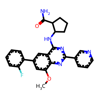 COc1cc(-c2ccccc2F)cc2c(NC3CCCC3C(N)=O)nc(-c3cccnc3)nc12